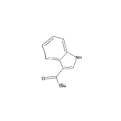 CC(C)(C)C(=O)c1c[nH]c2ccccc12